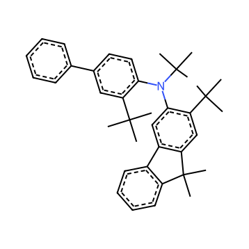 CC(C)(C)c1cc(-c2ccccc2)ccc1N(c1cc2c(cc1C(C)(C)C)C(C)(C)c1ccccc1-2)C(C)(C)C